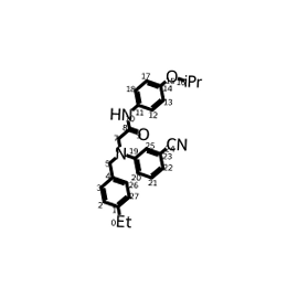 CCc1ccc(CN(CC(=O)Nc2ccc(OC(C)C)cc2)c2cccc(C#N)c2)cc1